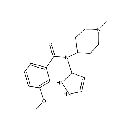 COc1cccc(C(=O)N(C2CCN(C)CC2)C2C=CNN2)c1